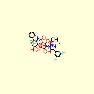 CC(=O)O[C@@H]1[C@@H](n2cc(-c3cc(F)cc(F)c3)nn2)[C@@H](O)[C@@H](CO)O[C@H]1C(=O)N(Cc1ccccc1C(F)(F)F)[C@H]1CCCC[C@@H]1O